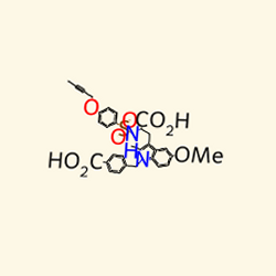 CC#CCOc1ccc(S(=O)(=O)NC(Cc2c(C)n(Cc3ccc(C(=O)O)cc3)c3ccc(OC)cc23)C(=O)O)cc1